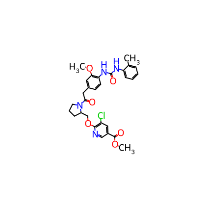 COC(=O)c1cnc(OCC2CCCN2C(=O)Cc2ccc(NC(=O)Nc3ccccc3C)c(OC)c2)c(Cl)c1